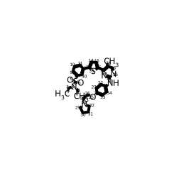 CCN(CC)S(=O)(=O)c1cccc(-c2ccc(-c3nc(Nc4ccc(OCCN5CCCC5)cc4)ncc3C)s2)c1